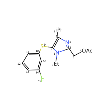 CCn1c(COC(C)=O)nc(C(C)C)c1Sc1cccc(F)c1